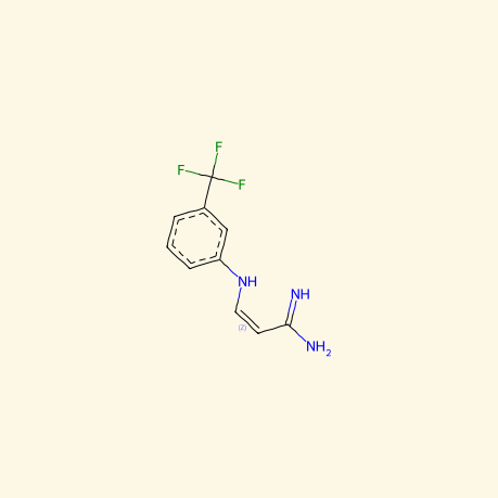 N=C(N)/C=C\Nc1cccc(C(F)(F)F)c1